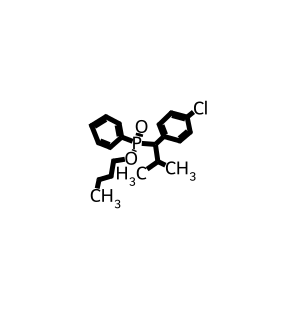 CCCCOP(=O)(c1ccccc1)C(c1ccc(Cl)cc1)C(C)C